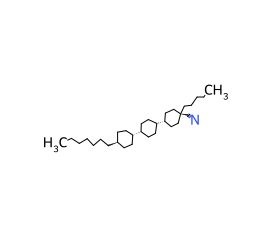 CCCCCCC[C@H]1CC[C@H](C2CCC([C@H]3CC[C@@](C#N)(CCCCC)CC3)CC2)CC1